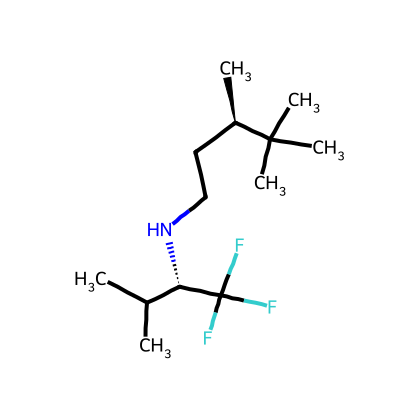 CC(C)[C@H](NCC[C@@H](C)C(C)(C)C)C(F)(F)F